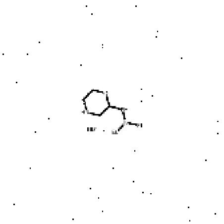 Br.CCN(CC)PC1CNCCO1